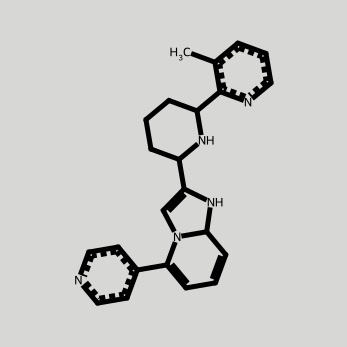 Cc1cccnc1C1CCCC(C2=CN3C(c4ccncc4)=CC=CC3N2)N1